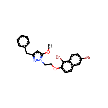 CCOc1cc(Cc2ccccc2)nn1CCOc1ccc2cc(Br)ccc2c1Br